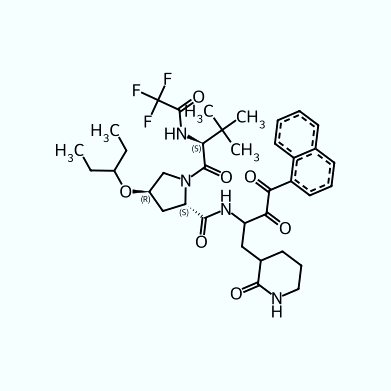 CCC(CC)O[C@@H]1C[C@@H](C(=O)NC(CC2CCCNC2=O)C(=O)C(=O)c2cccc3ccccc23)N(C(=O)[C@@H](NC(=O)C(F)(F)F)C(C)(C)C)C1